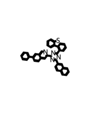 c1ccc(-c2ccc3cc(-c4nc(-c5ccc6ccccc6c5)nc(-c5cccc6sc7ccccc7c56)n4)ncc3c2)cc1